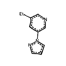 CCc1cncc(-n2cccn2)c1